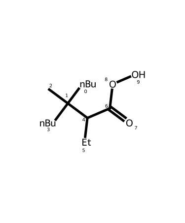 CCCCC(C)(CCCC)C(CC)C(=O)OO